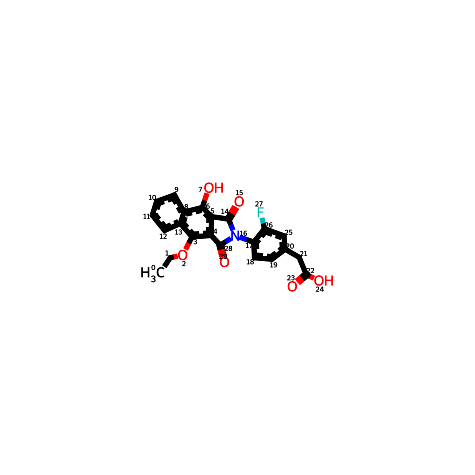 CCOc1c2c(c(O)c3ccccc13)C(=O)N(c1ccc(CC(=O)O)cc1F)C2=O